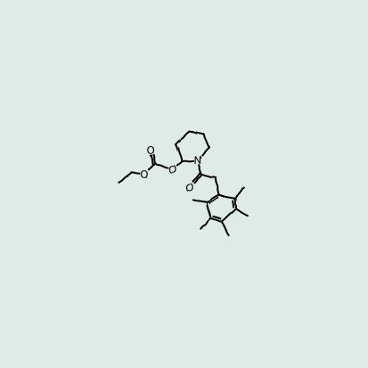 CCOC(=O)OC1CCCCN1C(=O)Cc1c(C)c(C)c(C)c(C)c1C